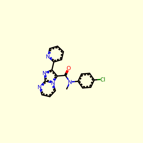 CN(C(=O)c1c(-c2ccccn2)nc2ncccn12)c1ccc(Cl)cc1